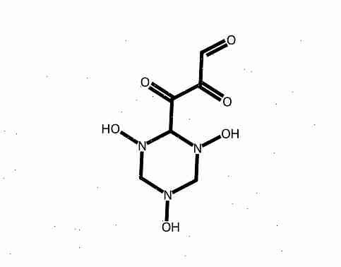 O=CC(=O)C(=O)C1N(O)CN(O)CN1O